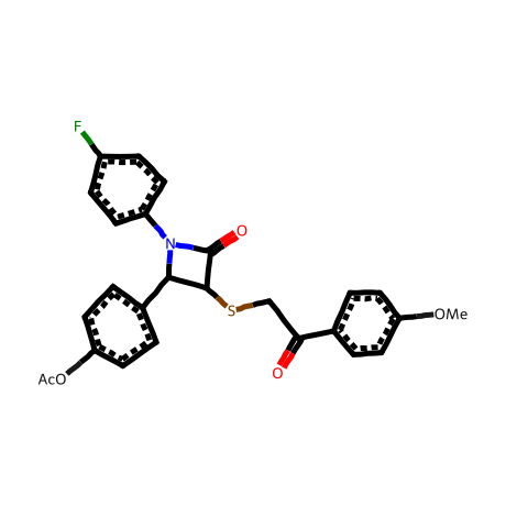 COc1ccc(C(=O)CSC2C(=O)N(c3ccc(F)cc3)C2c2ccc(OC(C)=O)cc2)cc1